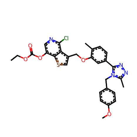 CCOC(=O)Oc1cnc(Cl)c2c(COc3cc(-c4nnc(C)n4Cc4ccc(OC)cc4)ccc3C)csc12